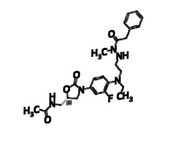 CCN(CCNN(C)C(=O)Cc1ccccc1)c1ccc(N2C[C@H](CNC(C)=O)OC2=O)cc1F